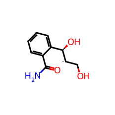 NC(=O)c1ccccc1[C@@H](O)[CH]CO